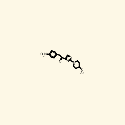 CC(=O)SC1CCN(c2nc(C(=O)Cc3ccc([N+](=O)[O-])cc3)cs2)CC1